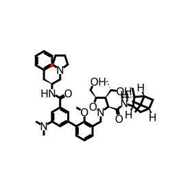 COc1c(CN2O[C@@H](CO)[C@@H]([C@H](C)O)[C@H]2C(=O)N[C@H]2C[C@H]3C[C@@H]([C@@H]2C)C3(C)C)cccc1-c1cc(C(=O)N[C@@H](Cc2ccccc2)CN2CCCC2)cc(N(C)C)c1